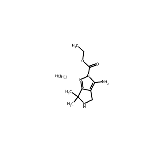 CCOC(=O)n1nc2c(c1N)CNC2(C)C.Cl.Cl